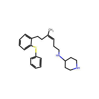 CC(=CCCNC1CCNCC1)CCc1ccccc1Sc1ccccc1